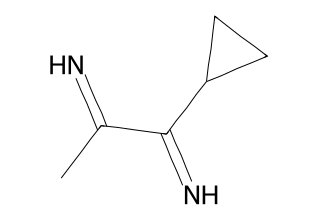 CC(=N)C(=N)C1CC1